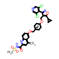 CS(=O)(=O)NC(=O)c1cc(C(F)(F)F)c2cc(OCC34CCC(OCc5c(-c6c(Cl)cncc6Cl)noc5C5CC5)(CC3)CC4)ccc2n1